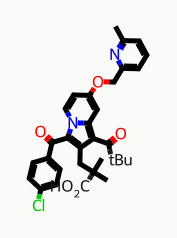 Cc1cccc(COc2ccn3c(C(=O)c4ccc(Cl)cc4)c(CC(C)(C)C(=O)O)c(C(=O)C(C)(C)C)c3c2)n1